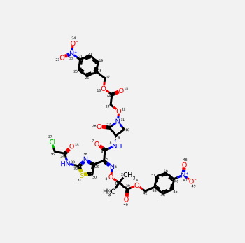 CC(C)(ON=C(C(=O)N[C@H]1CN(OCC(=O)OCc2ccc([N+](=O)[O-])cc2)C1=O)c1csc(NC(=O)CCl)n1)C(=O)OCc1ccc([N+](=O)[O-])cc1